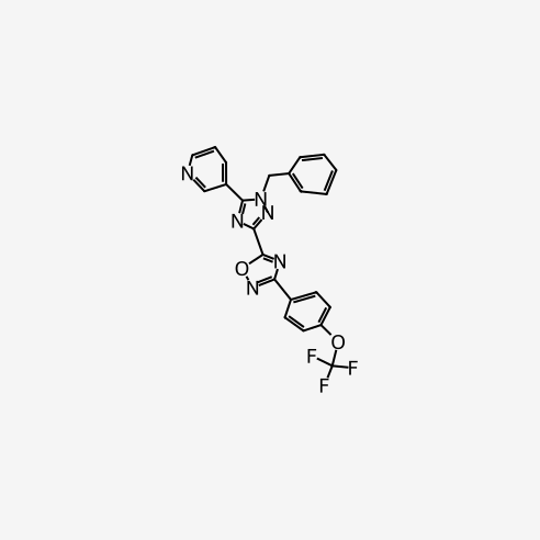 FC(F)(F)Oc1ccc(-c2noc(-c3nc(-c4cccnc4)n(Cc4ccccc4)n3)n2)cc1